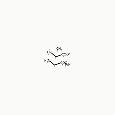 C.NCC(=O)[O-].NCC(=O)[O-].[Pd+2]